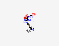 Cc1ncoc1CSCCNC1=NS(=O)(=O)C(C(=O)NCCO)=C1N